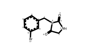 O=C1CNC(=O)N1Cc1cccc(Br)c1